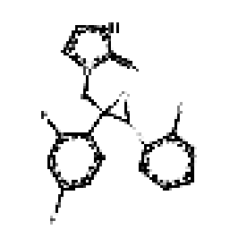 Fc1ccc([C@]2(Cn3cc[nH]c3=S)O[C@@H]2c2ccccc2Cl)c(F)c1